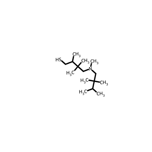 CC(C)C(C)(C)CN(C)CC(C)(C)C(C)CS